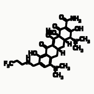 CN(C)c1cc(CNCCC(F)(F)F)c(O)c2c1C[C@H]1C[C@H]3[C@H](N(C)C)C(O)=C(C(N)=O)C(=O)[C@@]3(O)C(O)=C1C2=O